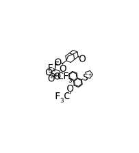 FC(F)(F)COc1ccc([S+]2CCCC2)c2ccccc12.O=C1C2CC3CC1CC(C(=O)OC(C(F)(F)F)C(F)(F)S(=O)(=O)[O-])(C3)C2